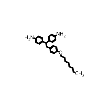 CCCCCCCCOc1ccc(CC(c2ccc(N)cc2)c2ccc(N)cc2)cc1